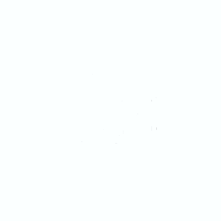 CCS(=O)(=O)Cc1c(F)cccc1C(F)(F)F